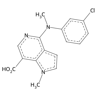 CN(c1cccc(Cl)c1)c1ncc(C(=O)O)c2c1ccn2C